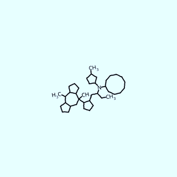 CCC(CC1CCCC1C1(C)CC2CCCC2C(C)C2CCCC21)N(C1CCCCCCCCC1)C1CCC(C)C1